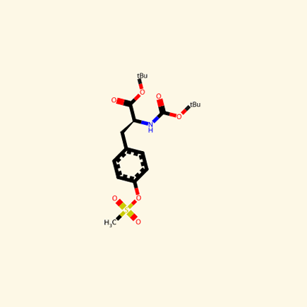 CC(C)(C)OC(=O)N[C@@H](Cc1ccc(OS(C)(=O)=O)cc1)C(=O)OC(C)(C)C